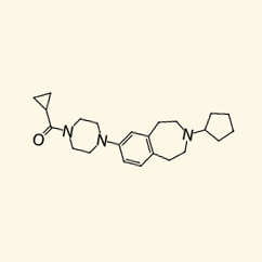 O=C(C1CC1)N1CCN(c2ccc3c(c2)CCN(C2CCCC2)CC3)CC1